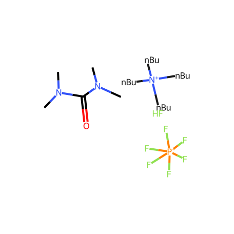 CCCC[N+](CCCC)(CCCC)CCCC.CN(C)C(=O)N(C)C.F.F[P-](F)(F)(F)(F)F